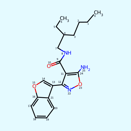 CCCCC(CC)CNC(=O)c1c(-c2coc3ccccc23)noc1N